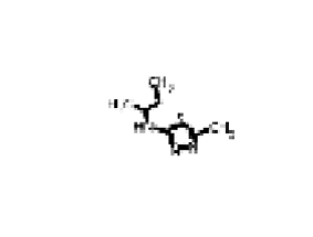 CCC(C)Nc1nnc(C)s1